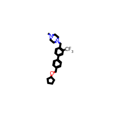 CN1CCN(Cc2ccc(-c3ccc(COC4CCCC4)cc3)cc2C(F)(F)F)CC1